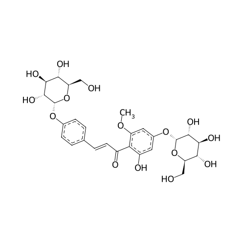 COc1cc(O[C@H]2O[C@H](CO)[C@@H](O)[C@H](O)[C@H]2O)cc(O)c1C(=O)C=Cc1ccc(O[C@H]2O[C@H](CO)[C@@H](O)[C@H](O)[C@H]2O)cc1